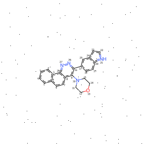 c1ccc2c(c1)ccc1c(N3CCOCC3)c(-c3ccc4[nH]ccc4c3)nnc12